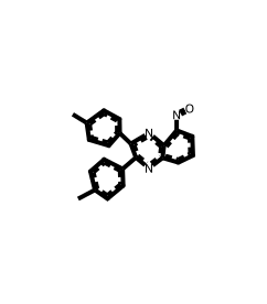 Cc1ccc(-c2nc3cccc(N=O)c3nc2-c2ccc(C)cc2)cc1